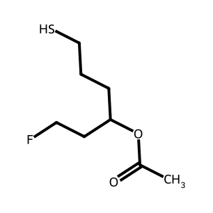 CC(=O)OC(CCF)CCCS